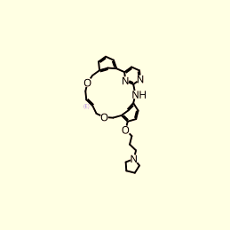 C1=C/COCc2cc(ccc2OCCCN2CCCC2)Nc2nccc(n2)-c2cccc(c2)COC/1